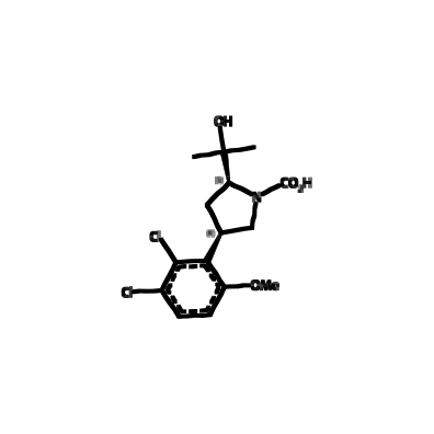 COc1ccc(Cl)c(Cl)c1[C@H]1C[C@@H](C(C)(C)O)N(C(=O)O)C1